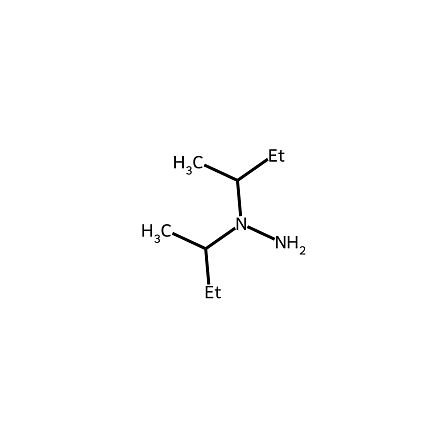 CCC(C)N(N)C(C)CC